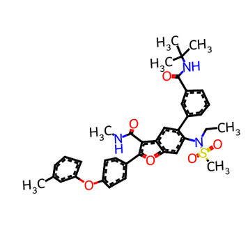 CCN(c1cc2oc(-c3ccc(Oc4cccc(C)c4)cc3)c(C(=O)NC)c2cc1-c1cccc(C(=O)NC(C)(C)C)c1)S(C)(=O)=O